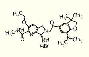 Br.CCOc1cc2c(nc1C(=O)NC)C(=N)N(CC(=O)c1cc(N(C)C)c3c(c1)C(C)(C)CO3)C2